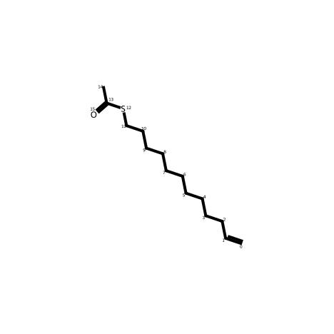 C=CCCCCCCCCCCSC(C)=O